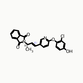 C[C@@H](/C=C/c1ccc(Oc2ccc(O)cc2Cl)nc1)N1C(=O)c2ccccc2C1=O